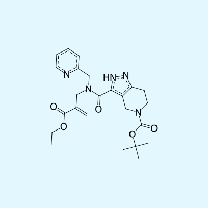 C=C(CN(Cc1ccccn1)C(=O)c1[nH]nc2c1CN(C(=O)OC(C)(C)C)CC2)C(=O)OCC